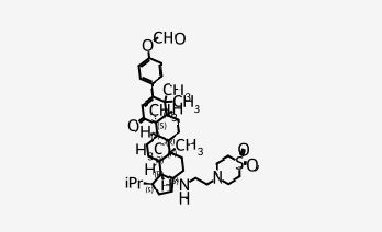 CC(C)[C@@H]1CC[C@]2(NCCN3CCS(=O)(=O)CC3)CC[C@]3(C)[C@H](CC[C@@H]4[C@@]5(C)C(=O)C=C(c6ccc(OC=O)cc6)C(C)(C)[C@@H]5CC[C@]43C)[C@@H]12